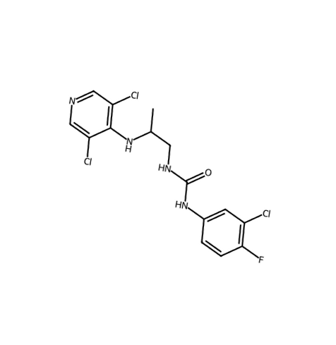 CC(CNC(=O)Nc1ccc(F)c(Cl)c1)Nc1c(Cl)cncc1Cl